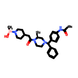 CB(O)N1CCC(CC(=O)N2CCN(C(c3ccccc3)c3ccc(NC(=O)C(C)(C)C)cc3)C[C@@H]2C(C)(C)C)CC1